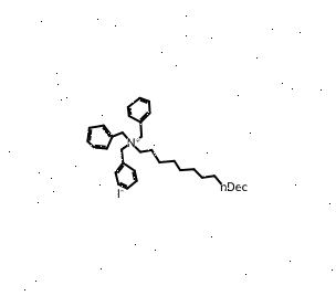 CCCCCCCCCCCCCCCCCC[N+](Cc1ccccc1)(Cc1ccccc1)Cc1ccccc1.[I-]